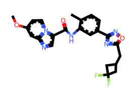 COc1ccn2c(C(=O)Nc3cc(-c4noc(CC5CC(F)(F)C5)n4)ccc3C)cnc2c1